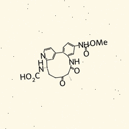 COC(=O)Nc1ccc2c(c1)NC(=O)[C@H](C)C(=O)CC[C@H](NC(=O)O)c1cc-2ccn1